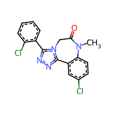 CN1C(=O)Cn2c(-c3ccccc3Cl)nnc2-c2cc(Cl)ccc21